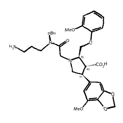 CCCCN(CCCN)C(=O)CN1C[C@H](c2cc(OC)c3c(c2)OCO3)[C@@H](C(=O)O)[C@@H]1COc1ccccc1OC